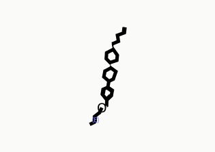 C=CCCC[C@H]1CC[C@H](C2CCC(c3ccc(COC/C=C/C)cc3)CC2)CC1